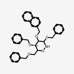 c1ccc(COCC2ONC(OCc3ccccc3)C(OCc3ccc4ccccc4c3)[C@@H]2OCc2ccccc2)cc1